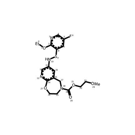 CCOc1ncc(F)cc1SNc1cnc2c(c1)CN(C(=O)OCCOC)CCO2